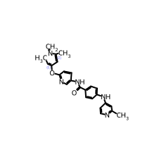 C=N/C(C)=C\C(=C/C)Oc1ccc(NC(=O)c2ccc(Nc3ccnc(C)c3)cc2)cn1